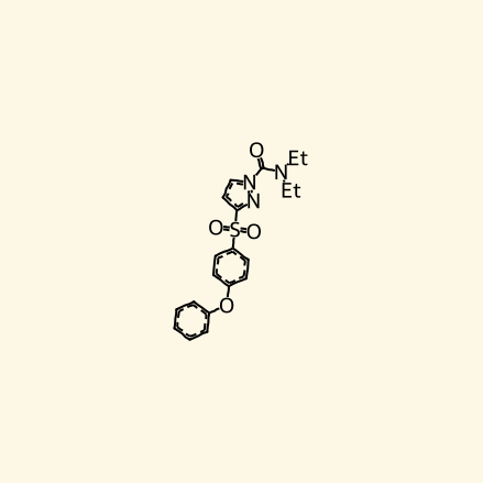 CCN(CC)C(=O)n1ccc(S(=O)(=O)c2ccc(Oc3ccccc3)cc2)n1